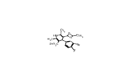 CCOC(=O)C1=C(C)NC(C)=C(C2OC(C)O2)C1c1ccc(F)c(Br)c1